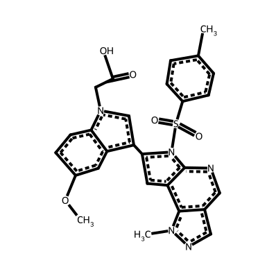 COc1ccc2c(c1)c(-c1cc3c4c(cnc3n1S(=O)(=O)c1ccc(C)cc1)cnn4C)cn2CC(=O)O